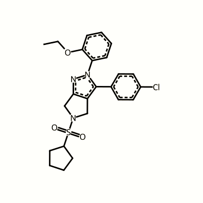 CCOc1ccccc1-n1nc2c(c1-c1ccc(Cl)cc1)CN(S(=O)(=O)C1CCCC1)C2